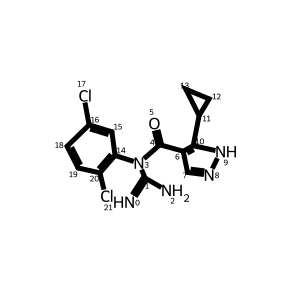 N=C(N)N(C(=O)c1cn[nH]c1C1CC1)c1cc(Cl)ccc1Cl